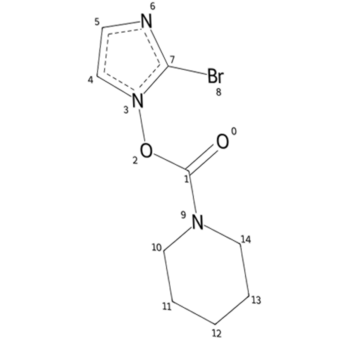 O=C(On1ccnc1Br)N1CCCCC1